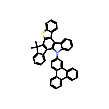 CC1(C)c2ccccc2-c2c1c1sc3ccccc3c1c1c3ccccc3n(-c3ccc4c5ccccc5c5ccccc5c4c3)c21